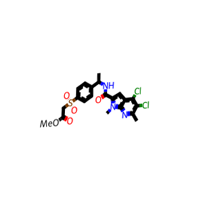 COC(=O)CS(=O)(=O)c1ccc(C(C)NC(=O)c2cc3c(Cl)c(Cl)c(C)nc3n2C)cc1